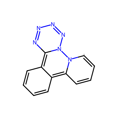 [C]1=CC=CC2=c3ccccc3=C3N=NN=NN3N12